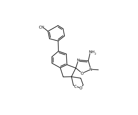 [C-]#[N+]c1cccc(-c2ccc3c(c2)C2(N=C(N)N(C)O2)C2(CCOCC2)C3)c1